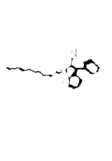 CCCCCCCCCCCCOC(=O)C(C#N)=C(c1ccccc1)c1ccccc1